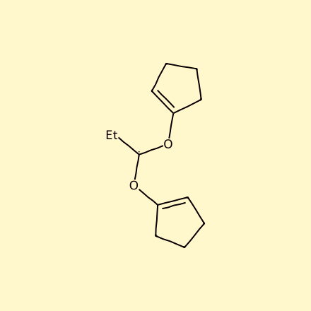 CC[C](OC1=CCCC1)OC1=CCCC1